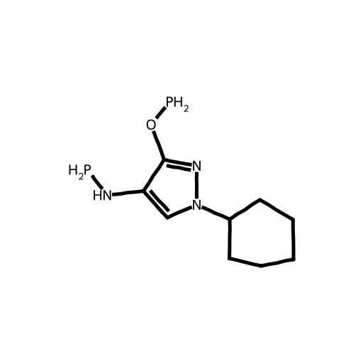 PNc1cn(C2CCCCC2)nc1OP